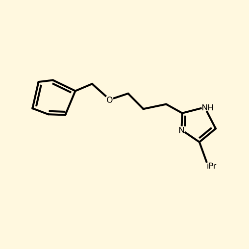 CC(C)c1c[nH]c(CCCOCc2ccccc2)n1